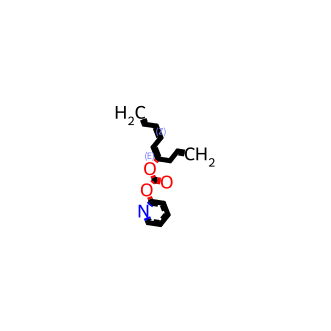 C=C/C=C\C=C(/CC=C)OC(=O)Oc1ccccn1